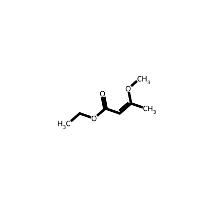 CCOC(=O)C=C(C)OC